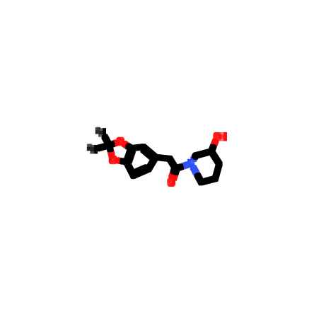 [2H]C1([2H])Oc2ccc(CC(=O)N3CCCC(O)C3)cc2O1